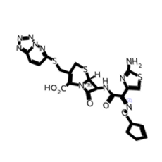 Nc1nc(/C(=N/OC2C=CCC2)C(=O)NC2C(=O)N3C(C(=O)O)=C(CSc4ccc5nnnn5n4)CS[C@H]23)cs1